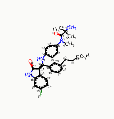 CN(C(=O)C(C)(C)N)c1ccc(N/C(=C2\C(=O)Nc3cc(F)ccc32)c2cccc(CCC(=O)O)c2)cc1